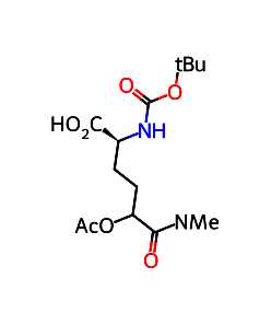 CNC(=O)C(CC[C@H](NC(=O)OC(C)(C)C)C(=O)O)OC(C)=O